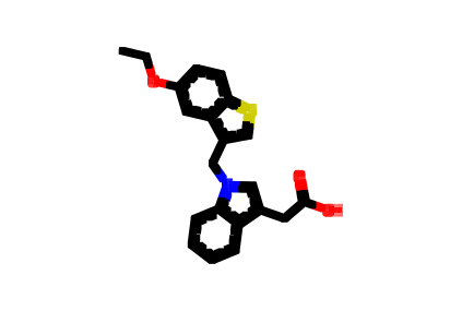 CCOc1ccc2scc(Cn3cc(CC(=O)O)c4ccccc43)c2c1